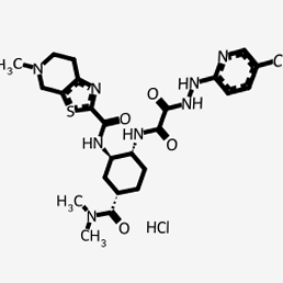 CN1CCc2nc(C(=O)N[C@@H]3C[C@@H](C(=O)N(C)C)CC[C@H]3NC(=O)C(=O)NNc3ccc(Cl)cn3)sc2C1.Cl